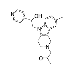 CC(=O)CN1CCc2c(c3cc(C)ccc3n2CC(O)c2ccncc2)C1